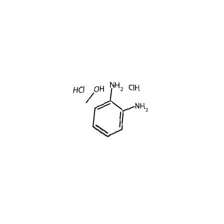 CO.Cl.Cl.Nc1ccccc1N